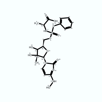 C[C@H](NP(=O)(OC[C@H]1O[C@@H](n2ccc(NO)nc2=O)[C@](C)(O)C1O)Oc1ccccc1)C(=O)O